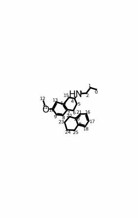 CCCNC1CCc2ccc(OC)cc2C1.c1ccc2c(c1)CCCC2